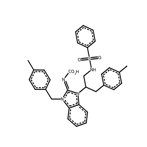 Cc1ccc(CC(CNS(=O)(=O)c2ccccc2)n2/c(=N\C(=O)O)n(Cc3ccc(C)cc3)c3ccccc32)cc1